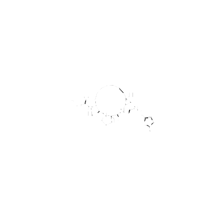 CC(C)OC(=O)N[C@H]1CCCCC/C=C\[C@@H]2C[C@@]2(C(=O)NS(=O)(=O)c2ccc(Cl)s2)NC(=O)[C@@H]2CCCN2C1=O